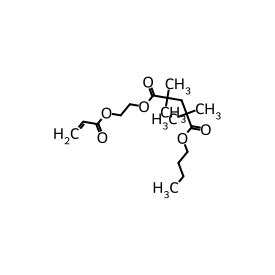 C=CC(=O)OCCOC(=O)C(C)(C)CC(C)(C)C(=O)OCCCC